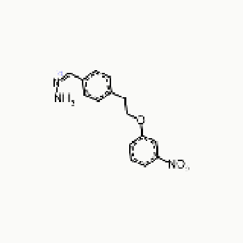 N/N=C\c1ccc(CCOc2cccc([N+](=O)[O-])c2)cc1